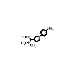 CCCCCCC(C1CCN(c2ccc(N)cc2)C1)N(C)C